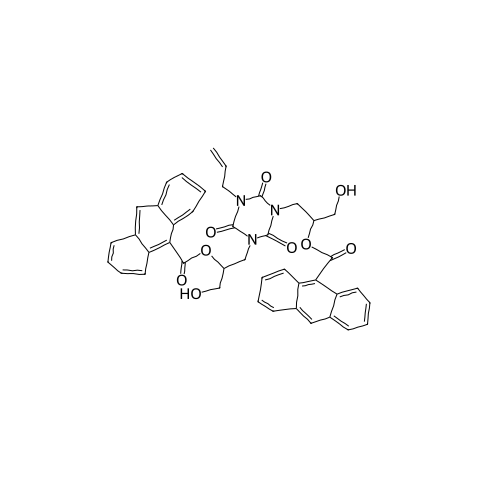 C=CCn1c(=O)n(CC(CO)OC(=O)c2c3ccccc3cc3ccccc23)c(=O)n(CC(CO)OC(=O)c2c3ccccc3cc3ccccc23)c1=O